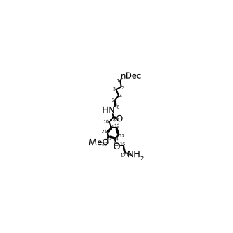 CCCCCCCCCCCCCC/C=C/NC(=O)Cc1ccc(OCCN)c(OC)c1